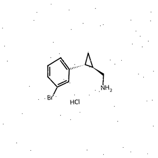 Cl.NC[C@@H]1C[C@H]1c1cccc(Br)c1